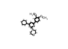 COc1ccc(-c2cc(C3CCCCC3)nc(N3CCOCC3)n2)cc1OC